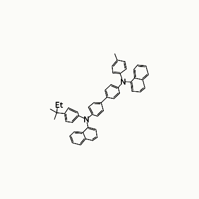 CCC(C)(C)c1ccc(N(c2ccc(-c3ccc(N(c4ccc(C)cc4)c4cccc5ccccc45)cc3)cc2)c2cccc3ccccc23)cc1